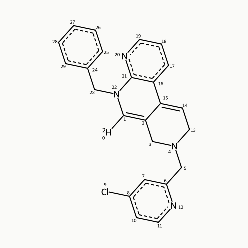 [2H]C1=C2CN(Cc3cc(Cl)ccn3)CC=C2c2cccnc2N1Cc1ccccc1